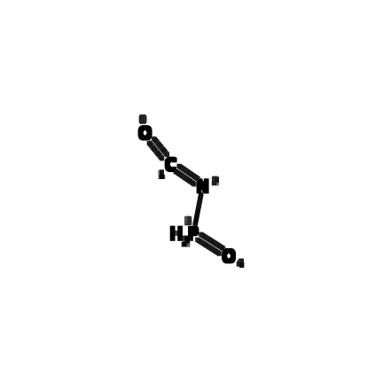 O=C=N[PH2]=O